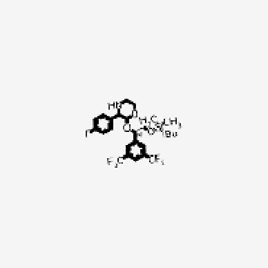 CC(C)(C)[Si](C)(C)OC[C@@H](OC1OCCNC1c1ccc(F)cc1)c1cc(C(F)(F)F)cc(C(F)(F)F)c1